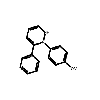 COc1ccc(N2NC=CC=C2c2ccccc2)cc1